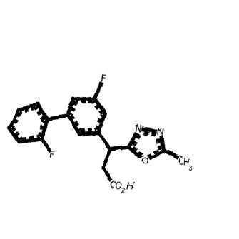 Cc1nnc(C(CC(=O)O)c2cc(F)cc(-c3ccccc3F)c2)o1